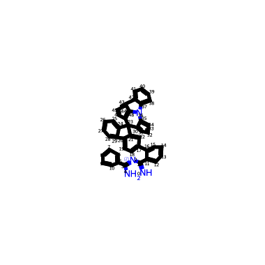 N=C(/N=C(\N)c1ccccc1)c1ccccc1-c1ccc2c(c1)C1(c3ccccc3-2)c2ccccc2-n2c3ccccc3c3cccc1c32